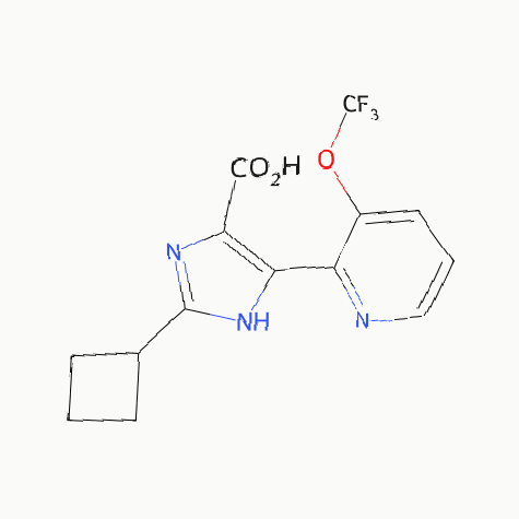 O=C(O)c1nc(C2CCC2)[nH]c1-c1ncccc1OC(F)(F)F